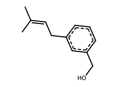 CC(C)=CCc1cccc(CO)c1